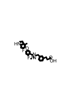 Cc1c(Oc2ccc(F)c(-c3nc(Cc4cccc(CCC(=O)O)c4)nn3C)c2)c(F)cc2[nH]ccc12